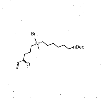 C=CC(=O)CCC[N+](C)(C)CCCCCCCCCCCCCCCC.[Br-]